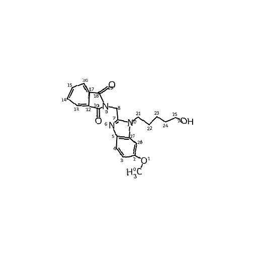 COc1ccc2nc(CN3C(=O)c4ccccc4C3=O)n(CCCCCO)c2c1